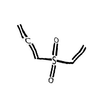 C=C=CS(=O)(=O)C=C